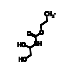 [CH2]CCOC(=O)NC(O)CO